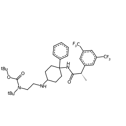 C[C@H](C(=O)NC1(c2ccccc2)CCC(NCCN(C(=O)OC(C)(C)C)C(C)(C)C)CC1)c1cc(C(F)(F)F)cc(C(F)(F)F)c1